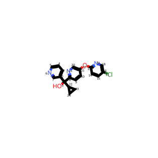 OC(c1cccnc1)(c1ccc(Oc2ccc(Cl)cn2)cn1)C1CC1